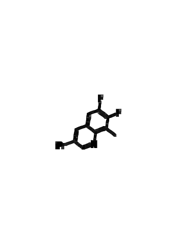 Cc1c(F)c(F)cc2cc(C(C)C)cnc12